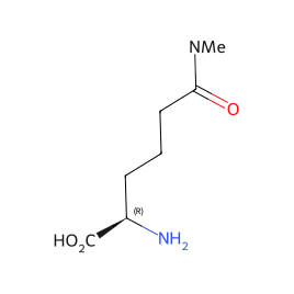 CNC(=O)CCC[C@@H](N)C(=O)O